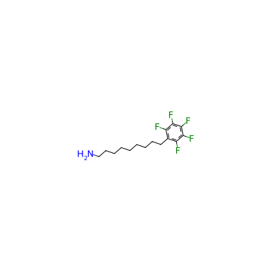 NCCCCCCCCCc1c(F)c(F)c(F)c(F)c1F